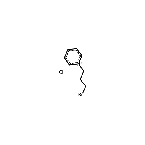 BrCCC[n+]1ccccc1.[Cl-]